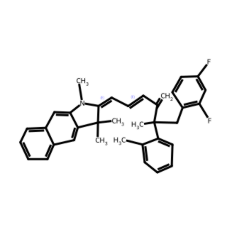 C=C(/C=C/C=C1/N(C)c2cc3ccccc3cc2C1(C)C)C(C)(Cc1ccc(F)cc1F)c1ccccc1C